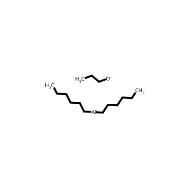 CCCCC[CH2][Al+][CH2]CCCCC.CCC[O-]